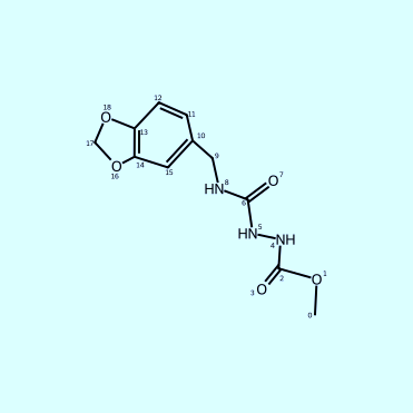 COC(=O)NNC(=O)NCc1ccc2c(c1)OCO2